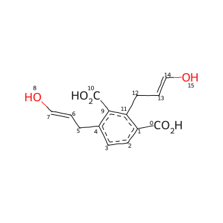 O=C(O)c1ccc(CC=CO)c(C(=O)O)c1CC=CO